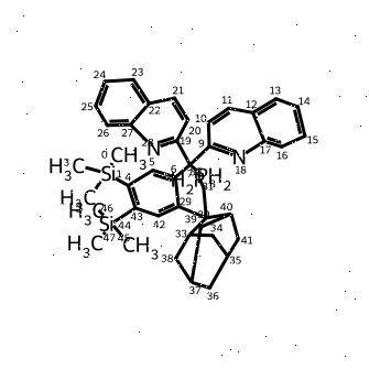 C[Si](C)(C)c1cc(C(P)(c2ccc3ccccc3n2)c2ccc3ccccc3n2)c(C2(CP)C3CC4CC(C3)CC2C4)cc1[Si](C)(C)C